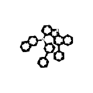 c1ccc(-c2cccc(N(c3ccc4ccccc4c3)c3cccc4oc5c6ccccc6c(-c6ccccc6)cc5c34)c2)cc1